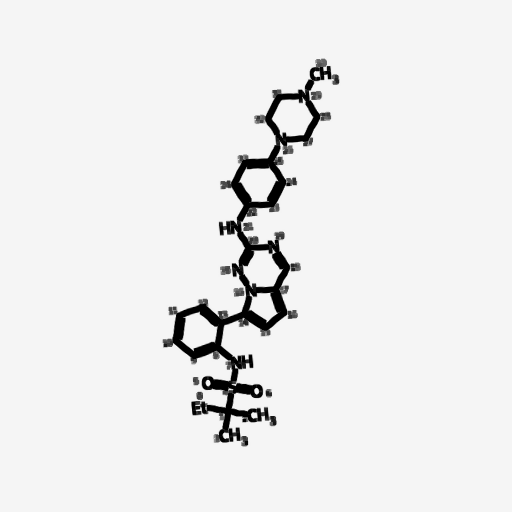 CCC(C)(C)S(=O)(=O)Nc1ccccc1-c1ccc2cnc(Nc3ccc(N4CCN(C)CC4)cc3)nn12